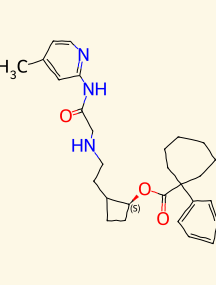 Cc1ccnc(NC(=O)CNCCC2CC[C@@H]2OC(=O)C2(c3ccccc3)CCCCCC2)c1